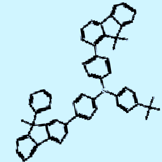 CC(C)(C)c1ccc(N(c2ccc(-c3ccc4c(c3)C(C)(c3ccccc3)c3ccccc3-4)cc2)c2ccc(-c3cccc4c3C(C)(C)c3ccccc3-4)cc2)cc1